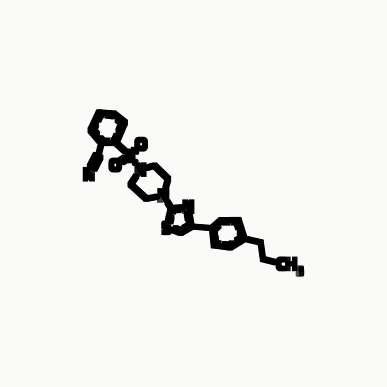 CCCc1ccc(-c2csc(N3CCN(S(=O)(=O)c4ccccc4C#N)CC3)n2)cc1